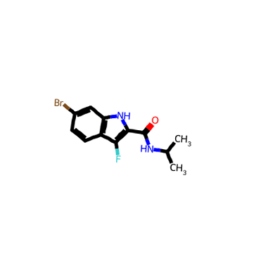 CC(C)NC(=O)c1[nH]c2cc(Br)ccc2c1F